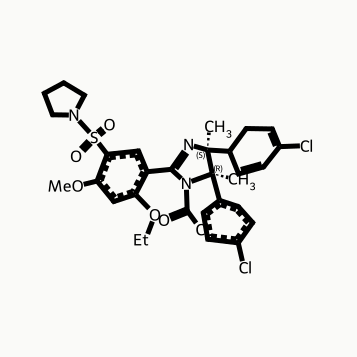 CCOc1cc(OC)c(S(=O)(=O)N2CCCC2)cc1C1=N[C@@](C)(C2C=CC(Cl)=CC2)[C@@](C)(c2ccc(Cl)cc2)N1C(=O)Cl